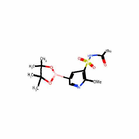 COc1ncc(B2OC(C)(C)C(C)(C)O2)cc1S(=O)(=O)NC(=O)C(C)(C)C